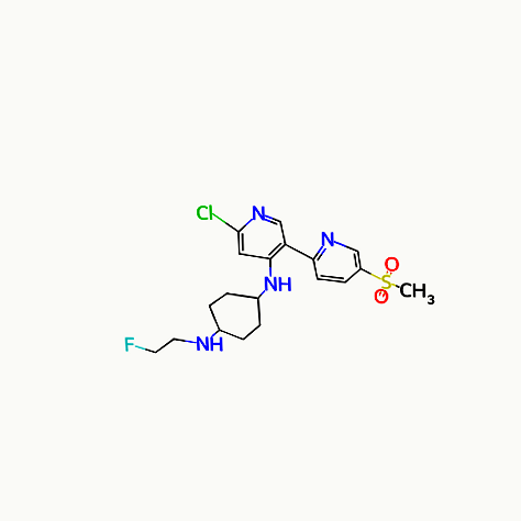 CS(=O)(=O)c1ccc(-c2cnc(Cl)cc2NC2CCC(NCCF)CC2)nc1